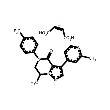 Cc1cc(-c2cnn3c2C(=O)N(c2ccc(C(F)(F)F)cc2)CC3C)ccn1.O=C(O)/C=C\C(=O)O